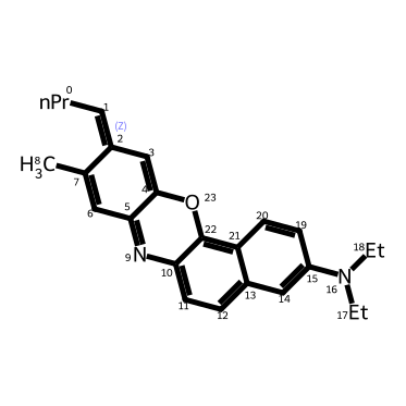 CCC/C=c1/cc2c(cc1C)=Nc1ccc3cc(N(CC)CC)ccc3c1O2